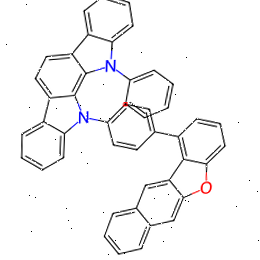 c1ccc(-n2c3ccccc3c3ccc4c5ccccc5n(-c5ccc(-c6cccc7oc8cc9ccccc9cc8c67)cc5)c4c32)cc1